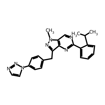 CC(C)c1ccccc1-c1ncc2c(n1)c(Cc1ccc(-n3ccnn3)cc1)nn2C